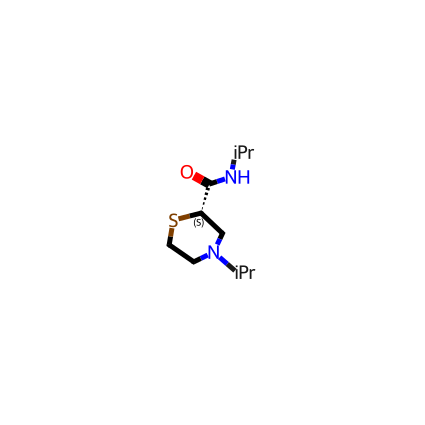 CC(C)NC(=O)[C@@H]1CN(C(C)C)CCS1